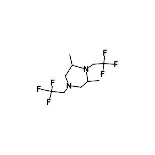 CC1CN(CC(F)(F)F)CC(C)N1CC(F)(F)F